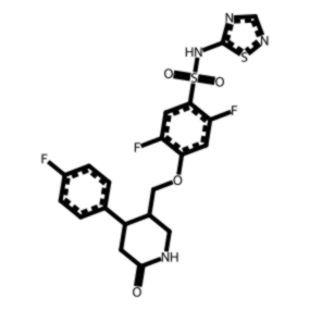 O=C1CC(c2ccc(F)cc2)C(COc2cc(F)c(S(=O)(=O)Nc3ncns3)cc2F)CN1